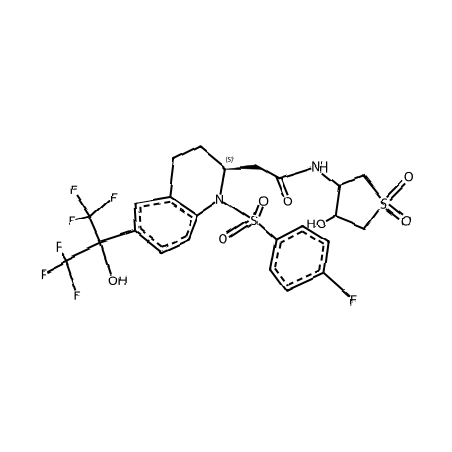 O=C(C[C@@H]1CCc2cc(C(O)(C(F)(F)F)C(F)(F)F)ccc2N1S(=O)(=O)c1ccc(F)cc1)NC1CS(=O)(=O)CC1O